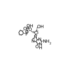 Nc1nc2c(ncn2[C@@H]2C[C@H](CO)[C@@H]2COP(=O)(O)Oc2ccccc2F)c(=O)[nH]1